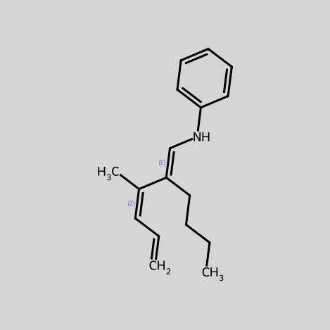 C=C/C=C(C)\C(=C\Nc1ccccc1)CCCC